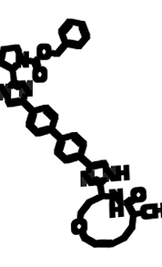 CC1CC/C=C\COCCC(c2nc(-c3ccc(-c4ccc(-c5c[nH]c(C6CCCN6C(=O)OCc6ccccc6)n5)cc4)cc3)c[nH]2)NC1=O